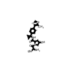 Cc1ncsc1-c1ccc(C2(NC(=O)C3CC(O)CN3C(=O)C(N)C(C)(C)C)CC2)cc1